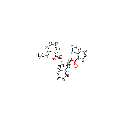 CCc1ccccc1C(=O)OC1C2CC(c3ccccc32)C1OC(=O)c1ccccc1CC